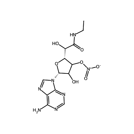 CCNC(=O)C(O)[C@H]1O[C@@H](n2cnc3c(N)ncnc32)C(O)C1O[N+](=O)[O-]